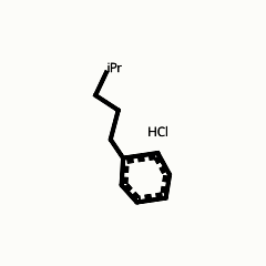 CC(C)CCCc1ccccc1.Cl